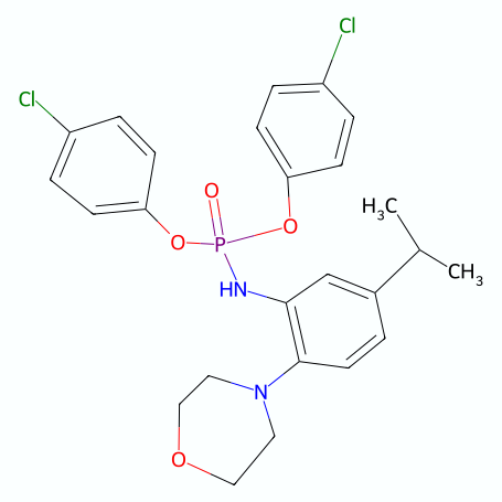 CC(C)c1ccc(N2CCOCC2)c(NP(=O)(Oc2ccc(Cl)cc2)Oc2ccc(Cl)cc2)c1